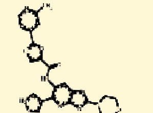 Cc1cc(-c2nc(C(=O)Nc3cc4sc(N5CCOCC5)nc4nc3-c3cn[nH]c3)co2)ccn1